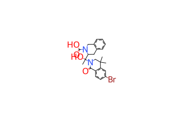 CC1(C)CN(C(C)(O)C2Cc3ccccc3CN2C(=O)O)C(=O)c2ccc(Br)cc21